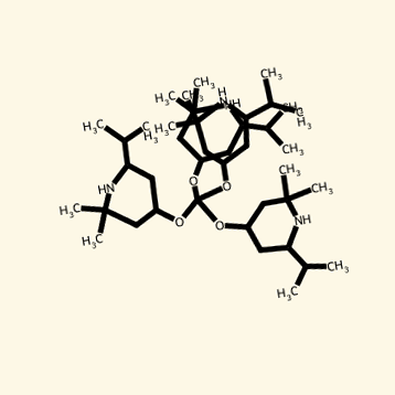 CC(C)C1CC(OC(OC2CC(C(C)C)NC(C)(C)C2)(OC2CC(C(C)C)NC(C)(C)C2)OC2CC(C(C)C)NC(C)(C)C2)CC(C)(C)N1